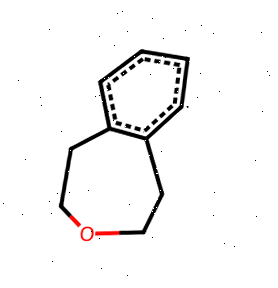 [c]1cccc2c1CCOCC2